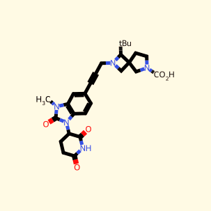 Cn1c(=O)n(C2CCC(=O)NC2=O)c2ccc(C#CCN3CC4(CCN(C(=O)O)C4)C3C(C)(C)C)cc21